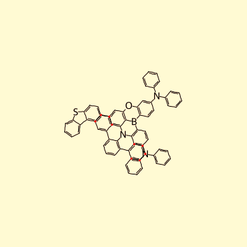 c1ccc(-c2cccc(-c3ccccc3)c2N2c3cc(N(c4ccccc4)c4ccccc4)ccc3B3c4ccc(N(c5ccccc5)c5ccccc5)cc4Oc4cc(-c5ccc6sc7ccccc7c6c5)cc2c43)cc1